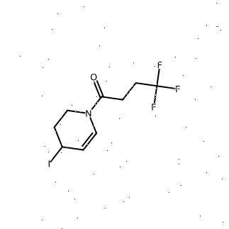 O=C(CCC(F)(F)F)N1C=CC(I)CC1